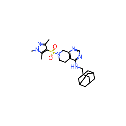 Cc1nn(C)c(C)c1S(=O)(=O)N1CCc2c(ncnc2NCC23CC4CC(CC(C4)C2)C3)C1